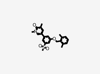 Cc1cccc(C)c1COc1cc(-c2cc(C)c(=O)n(C)c2)cc(S(C)(=O)=O)c1